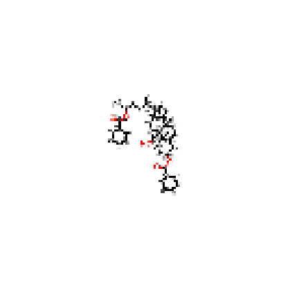 CC(C)C(CC[C@@H](C)[C@H]1CC[C@H]2[C@@H]3CC=C4C[C@@H](OC(=O)c5ccccc5)C[C@H](O)[C@]4(C)[C@H]3CC[C@]12C)OC(=O)c1ccccc1